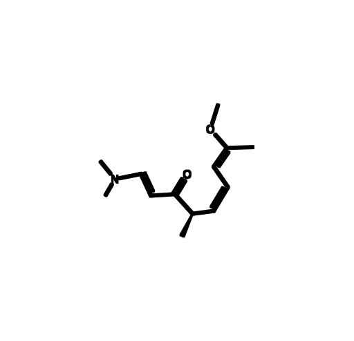 CO/C(C)=C/C=C\[C@@H](C)C(=O)/C=C/N(C)C